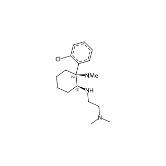 CN[C@]1(c2ccccc2Cl)CCCC[C@@H]1NCCN(C)C